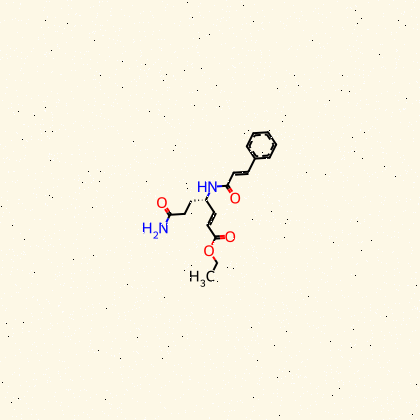 CCOC(=O)C=C[C@H](CCC(N)=O)NC(=O)C=Cc1ccccc1